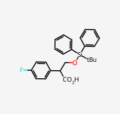 CC(C)(C)[Si](OCC(C(=O)O)c1ccc(F)cc1)(c1ccccc1)c1ccccc1